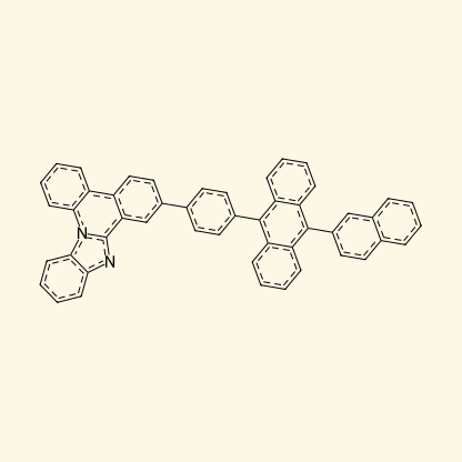 c1ccc2cc(-c3c4ccccc4c(-c4ccc(-c5ccc6c7ccccc7n7c8ccccc8nc7c6c5)cc4)c4ccccc34)ccc2c1